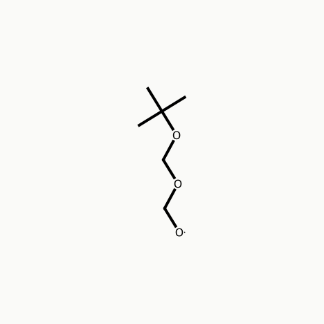 CC(C)(C)OCOC[O]